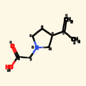 C=C(C)C1CCN(CC(=O)O)C1